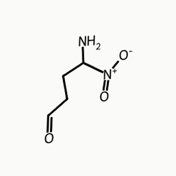 NC(CCC=O)[N+](=O)[O-]